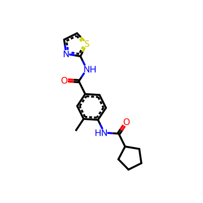 Cc1cc(C(=O)Nc2nccs2)ccc1NC(=O)C1CCCC1